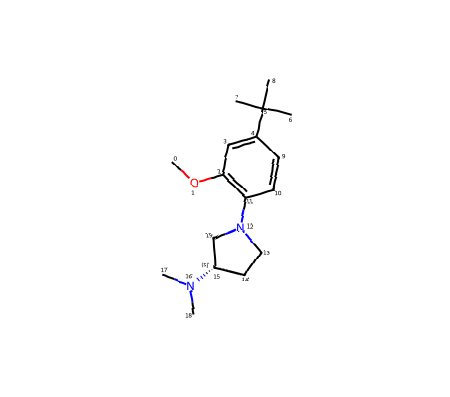 COc1cc(C(C)(C)C)ccc1N1CC[C@H](N(C)C)C1